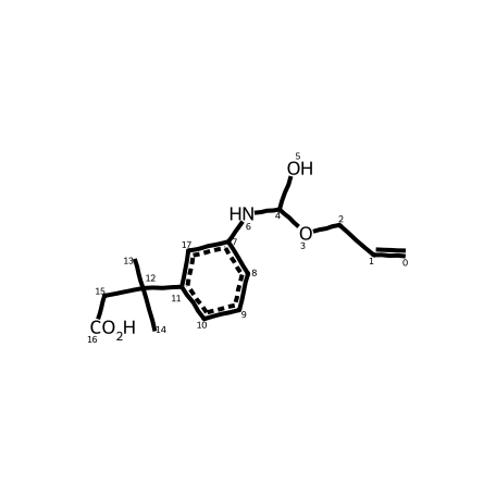 C=CCOC(O)Nc1cccc(C(C)(C)CC(=O)O)c1